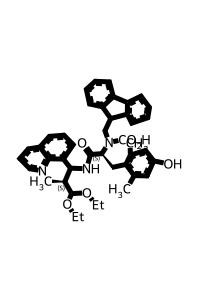 CCOC(OCC)[C@@H](C)C(NC(=O)[C@H](Cc1c(C)cc(O)cc1C)N(CC1c2ccccc2-c2ccccc21)C(=O)O)c1cccc2cccnc12